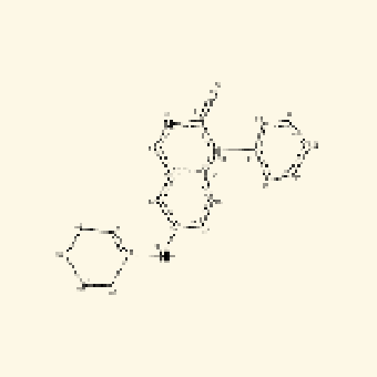 O=c1ncc2cc(NC3=CCCC=C3)ccc2n1-c1ccccc1